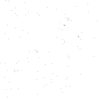 COc1c(N2C[C@H]3CCCN[C@H]3C2)c(F)cc2c(=O)c(C(=O)O)cn(C3CC3)c12